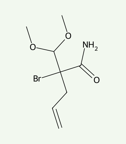 C=CCC(Br)(C(N)=O)C(OC)OC